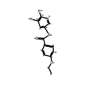 CCOc1ccc(C(=O)Oc2cnc(F)c(F)c2)cc1